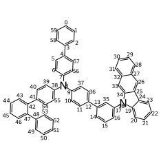 c1ccc(-c2ccc(N(c3ccc(-c4cccc(-n5c6ccccc6c6cc7ccccc7cc65)c4)cc3)c3ccc(-c4ccccc4-c4ccccc4)cc3)cc2)cc1